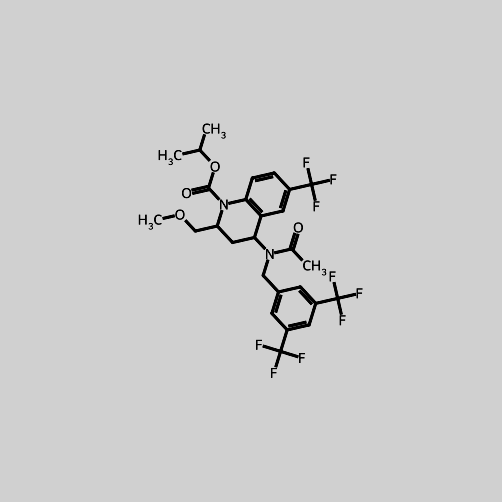 COCC1CC(N(Cc2cc(C(F)(F)F)cc(C(F)(F)F)c2)C(C)=O)c2cc(C(F)(F)F)ccc2N1C(=O)OC(C)C